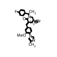 Br.Br.COc1cc(C=C2CCCN([C@@H](C)c3ccc(F)cc3)C2=O)ccc1-n1cnc(C)c1.O